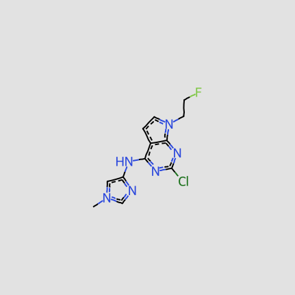 Cn1cnc(Nc2nc(Cl)nc3c2ccn3CCF)c1